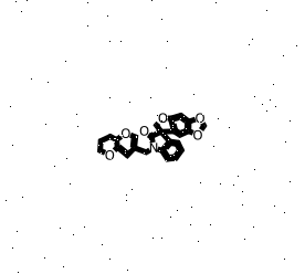 O=C1N(CC2=COC3CCCOC3=C2)c2ccccc2C12COc1cc3c(cc12)OCO3